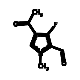 CC(=O)c1cn(C)c(C=O)c1F